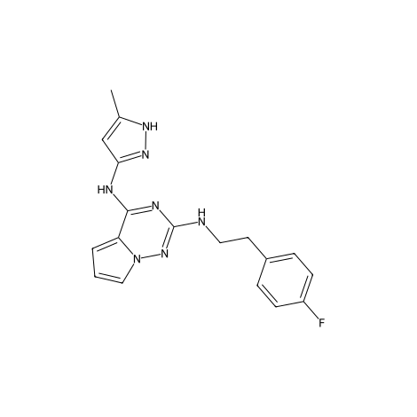 Cc1cc(Nc2nc(NCCc3ccc(F)cc3)nn3cccc23)n[nH]1